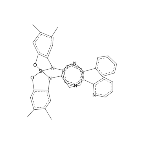 Cc1cc2c(cc1C)N(c1ccc(-c3ccccc3)nc1)[Si]1(O2)Oc2cc(C)c(C)cc2N1c1ccc(-c2ccccn2)nc1